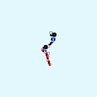 CCc1c(Cl)cccc1N1CCN(CCCCOc2ccc(C)c(N(COC(=O)COCCOCCOC)C(C)=O)c2)CC1